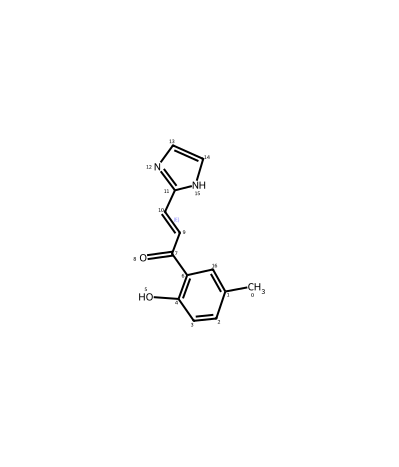 Cc1ccc(O)c(C(=O)/C=C/c2ncc[nH]2)c1